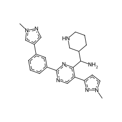 Cn1cc(-c2cccc(-c3ncc(-c4ccn(C)n4)c(C(N)C4CCCNC4)n3)c2)cn1